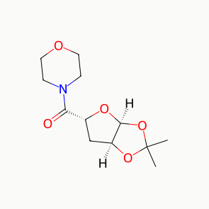 CC1(C)O[C@@H]2O[C@@H](C(=O)N3CCOCC3)C[C@@H]2O1